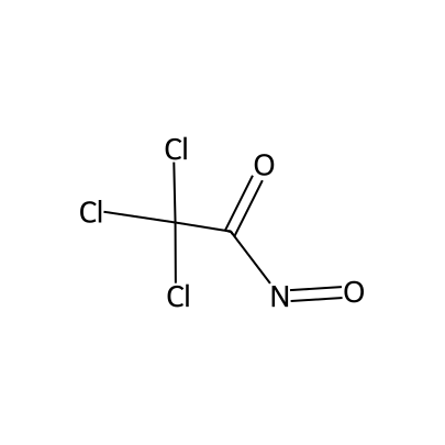 O=NC(=O)C(Cl)(Cl)Cl